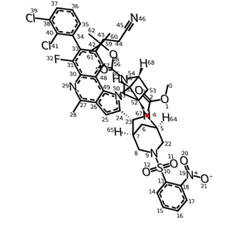 COC(=O)N1[C@@H]2C[C@@H](CN(S(=O)(=O)c3ccccc3[N+](=O)[O-])C2)[C@@H]1c1cc2c(C)nc3c(F)c(-c4cccc(Cl)c4Cl)c(CCC#N)cc3c2n1[C@H]1[C@@H]2C[C@H]1N(C(=O)OC(C)(C)C)C2